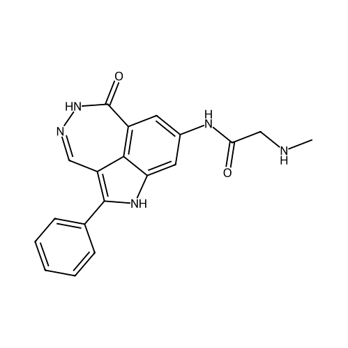 CNCC(=O)Nc1cc2c3c(c(-c4ccccc4)[nH]c3c1)C=NNC2=O